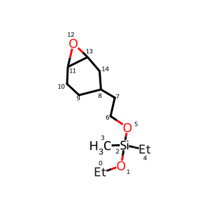 CCO[Si](C)(CC)OCCC1CCC2OC2C1